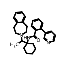 CC(N1CCc2ccccc2CC1)C1(NC(=O)c2ccccc2-c2cccnc2)CCCCC1